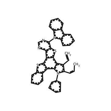 C=Cc1c(/C=C\C)n(-c2ccccc2)c2c1c1sc3c(-n4c5ccccc5c5ccccc54)ncnc3c1c1sc3ccccc3c12